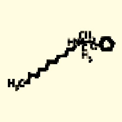 CCCCCCCCCCCCNC(C)(C)COc1ccccc1